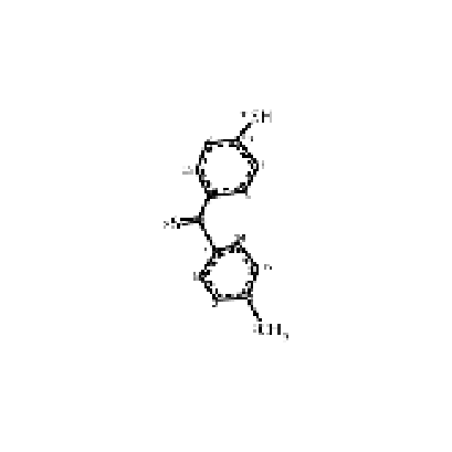 Cc1ccc(C(=S)c2ccc(S)cc2)cc1